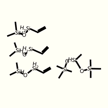 C=C[SiH2]O[SiH](C)C.C=C[SiH2]O[SiH](C)C.C=C[SiH2]O[SiH](C)C.C[SiH](O[Si](C)(C)C)O[Si](C)(C)C